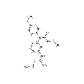 CCNC(=O)N(c1ccc(SC)cc1)c1ccnc(NC(C)COC)n1